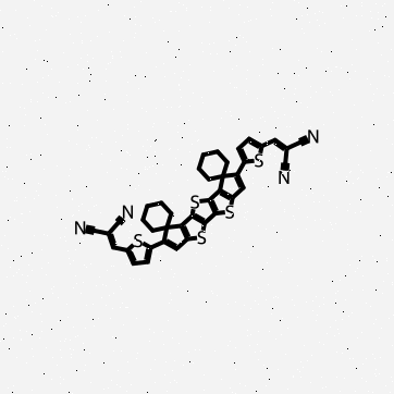 N#CC(C#N)=Cc1ccc(C2=Cc3sc4c(sc5c6c(sc54)C=C(c4ccc(C=C(C#N)C#N)s4)C64CCCCC4)c3C23CCCCC3)s1